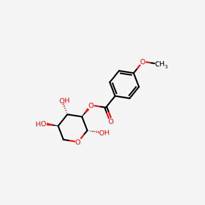 COc1ccc(C(=O)O[C@@H]2[C@@H](O)[C@H](O)CO[C@H]2O)cc1